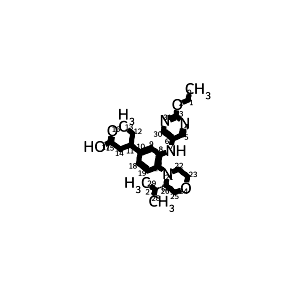 CCOc1ncc(Nc2cc(C(CC)CC(=O)O)ccc2N2CCOC[C@@H]2C(C)C)cn1